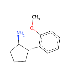 COc1ccccc1[C@@H]1CCC[C@H]1N